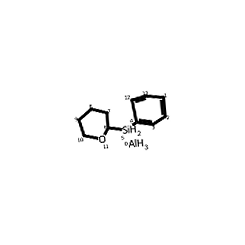 [AlH3].c1ccc([SiH2]C2CCCCO2)cc1